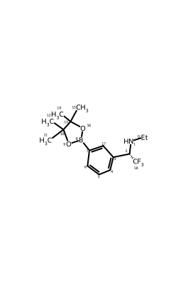 CCN[C@@H](c1cccc(B2OC(C)(C)C(C)(C)O2)c1)C(F)(F)F